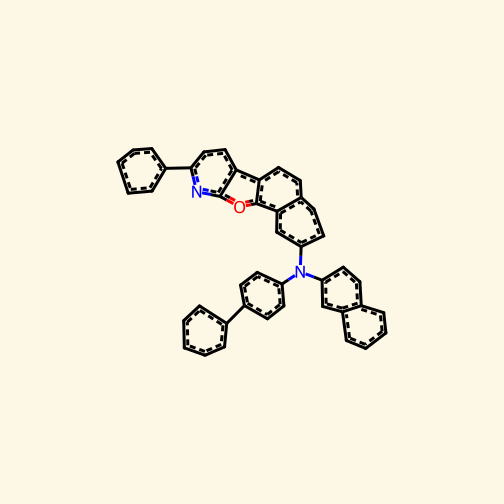 c1ccc(-c2ccc(N(c3ccc4ccccc4c3)c3ccc4ccc5c6ccc(-c7ccccc7)nc6oc5c4c3)cc2)cc1